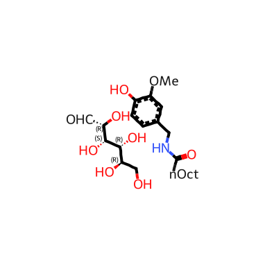 CCCCCCCCC(=O)NCc1ccc(O)c(OC)c1.O=C[C@H](O)[C@@H](O)[C@H](O)[C@H](O)CO